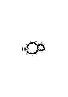 c1ccc2ccc[nH]cccc2c1